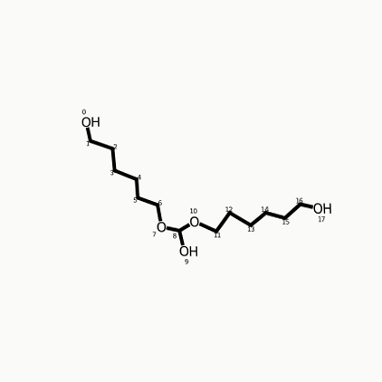 OCCCCCCOC(O)OCCCCCCO